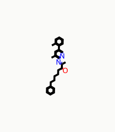 C/C(=N\c1ncc(-c2ccccc2C)cc1C)C(=O)CCCCCc1ccccc1